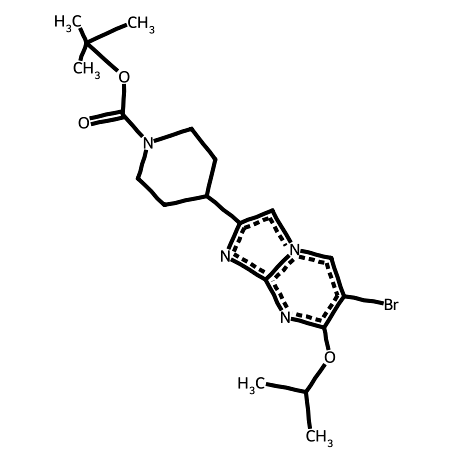 CC(C)Oc1nc2nc(C3CCN(C(=O)OC(C)(C)C)CC3)cn2cc1Br